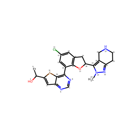 CCC(O)c1cc2ncnc(-c3cc(Cl)cc4c3OC(c3c5c(nn3C)CCNC5)C4)c2s1